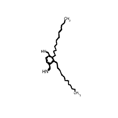 CCCCCCCCCCCCc1c(C=N)ccc(C=N)c1CCCCCCCCCCCC